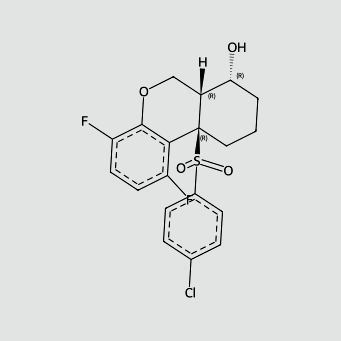 O=S(=O)(c1ccc(Cl)cc1)[C@]12CCC[C@@H](O)[C@H]1COc1c(F)ccc(F)c12